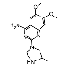 COc1cc2nc(N3CCNC(C)C3)nc(N)c2cc1OC